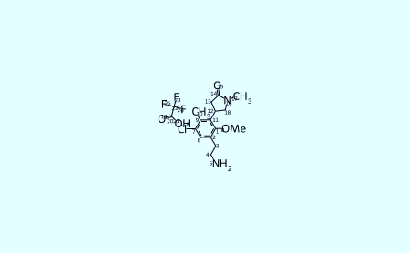 COc1c(CCN)cc(Cl)c(C)c1C1CC(=O)N(C)C1.O=C(O)C(F)(F)F